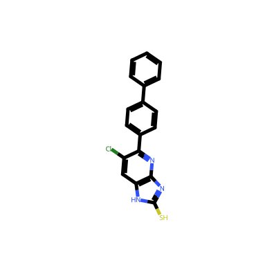 Sc1nc2nc(-c3ccc(-c4ccccc4)cc3)c(Cl)cc2[nH]1